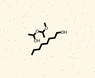 CCCCCCCCO.COC(C)OC(C)O